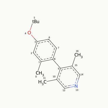 Cc1cc(OC(C)(C)C)ccc1-c1c(C)cncc1C